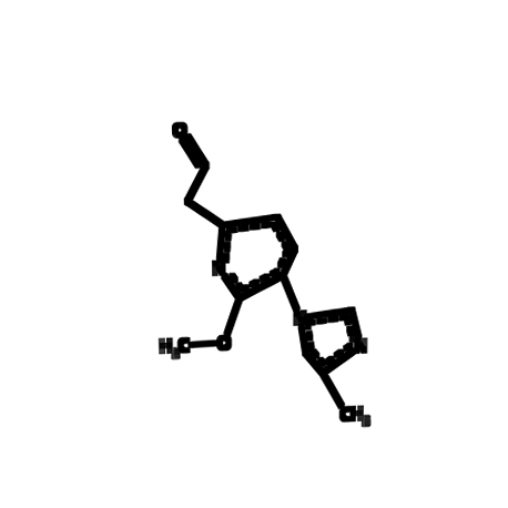 COc1nc(CC=O)ccc1-n1cnc(C)c1